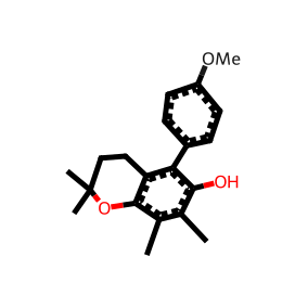 COc1ccc(-c2c(O)c(C)c(C)c3c2CCC(C)(C)O3)cc1